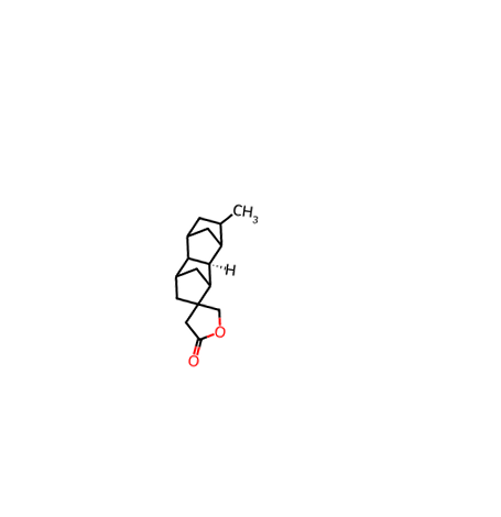 CC1CC2CC1[C@@H]1C2C2CC1C1(COC(=O)C1)C2